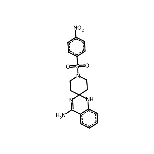 NC1=NC2(CCN(S(=O)(=O)c3ccc([N+](=O)[O-])cc3)CC2)Nc2ccccc21